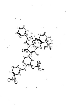 Cc1c(N2CCN(Cc3cccc([N+](=O)[O-])c3)C(OC(=O)O)C2)c(=O)n(C[C@H](N)c2ccccc2)c(=O)n1Cc1c(F)cccc1C(F)(F)F